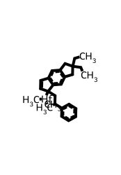 CCC1(CC)Cc2cc3c(cc2C1)[C](CC(C)c1ccccc1)([Hf]([CH3])[CH3])C=C3